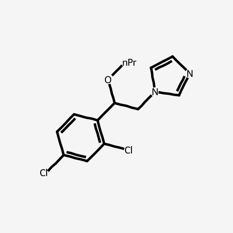 CCCOC(Cn1ccnc1)c1ccc(Cl)cc1Cl